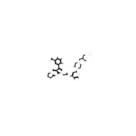 C[C@H]1CN(CC(CO)CO)CCN1C1C=C(NC(=O)Cn2cc(-c3cc(C(N)=O)c(O)c(F)c3F)c3c(=O)n4c(nc32)CCC4)C(Cl)=C(F)N1